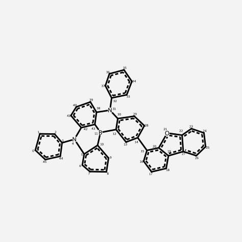 c1ccc(N2c3ccccc3B3c4cc(-c5cccc6c5oc5ccccc56)ccc4N(c4ccccc4)c4cccc2c43)cc1